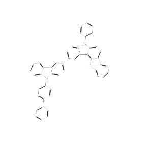 c1ccc(-c2ccc(-n3c4ccccc4c4cc(-c5ccc6c(c5)c5c7oc8ccccc8c7ccc5n6-c5ccccc5)ccc43)cc2)cc1